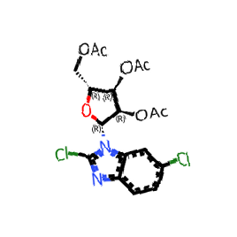 CC(=O)OC[C@H]1O[C@@H](n2c(Cl)nc3ccc(Cl)cc32)[C@H](OC(C)=O)[C@@H]1OC(C)=O